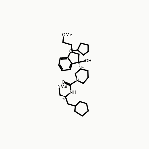 CNC[C@H](CC1CCCCC1)NC(=O)N1CCC[C@@H](C(O)(CCCCOC)c2ccccc2OC2CCCC2)C1